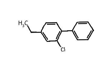 CCc1ccc(-c2ccccc2)c(Cl)c1